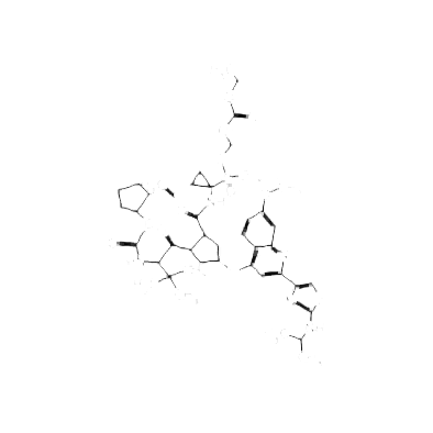 C=C[C@@H]1C[C@]1(NC(=O)C1C[C@@H](Oc2cc(-c3csc(NC(C)C)n3)nc3cc(OC)ccc23)CC1C(=O)C(NC(=O)OC1CCCC1)C(C)(C)C)P(C)(=O)OCOC(=O)OCC